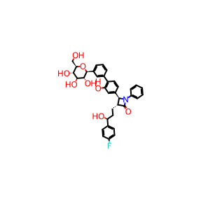 O=C1[C@H](CC[C@H](O)c2ccc(F)cc2)[C@@H](c2ccc(-c3cccc([C@@H]4O[C@H](CO)[C@@H](O)[C@H](O)[C@H]4O)c3)c(O)c2)N1c1ccccc1